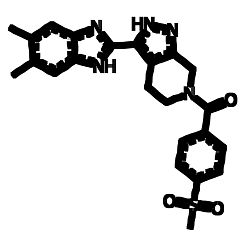 Cc1cc2nc(-c3[nH]nc4c3CCN(C(=O)c3ccc(S(C)(=O)=O)cc3)C4)[nH]c2cc1C